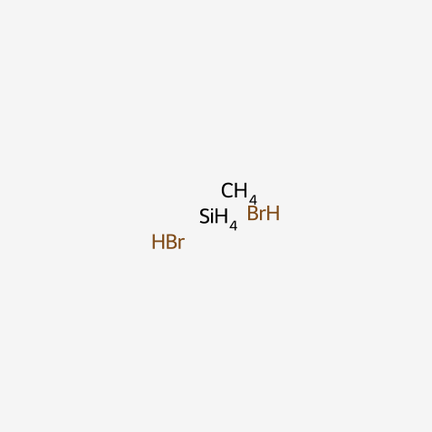 Br.Br.C.[SiH4]